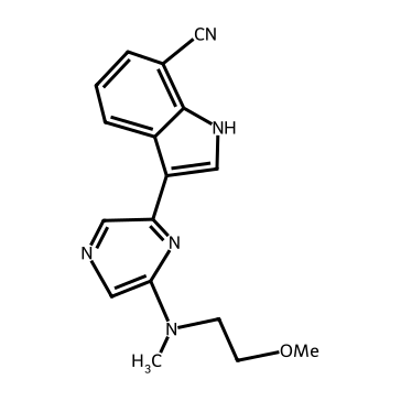 COCCN(C)c1cncc(-c2c[nH]c3c(C#N)cccc23)n1